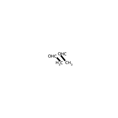 CC=O.CC=O